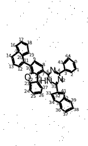 c1ccc(C2=NC(c3ccc(-c4cccc5ccccc45)c4oc5ccccc5c34)NC(c3ccc4ccccc4c3)=N2)cc1